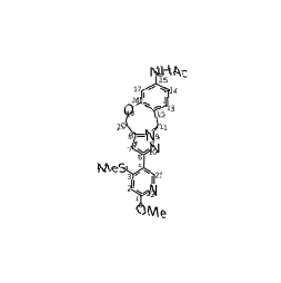 COc1cc(SC)c(-c2cc3n(n2)Cc2ccc(NC(C)=O)cc2OC3)cn1